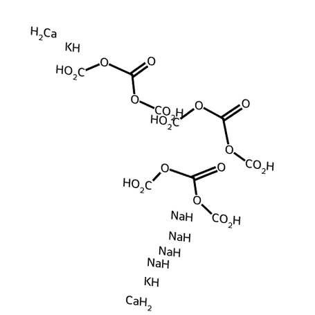 O=C(O)OC(=O)OC(=O)O.O=C(O)OC(=O)OC(=O)O.O=C(O)OC(=O)OC(=O)O.[CaH2].[CaH2].[KH].[KH].[NaH].[NaH].[NaH].[NaH]